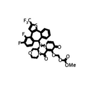 COC(=O)OCOc1c2n(ccc1=O)N(C1c3ccccc3-c3sc(C(F)(F)F)cc3-c3c1ccc(F)c3F)C1COCCN1C2=O